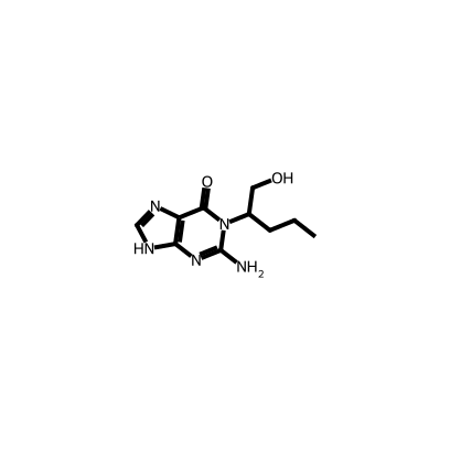 CCCC(CO)n1c(N)nc2[nH]cnc2c1=O